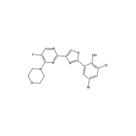 Oc1c(Cl)cc(Br)cc1-c1nc(-c2ncc(F)c(N3CCOCC3)n2)co1